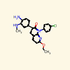 CCOc1ccc2cc(-c3ccc(N)c(NC)c3)c(=O)n(-c3ccc(Cl)cc3)c2n1